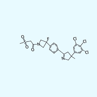 CC1(c2cc(Cl)c(Cl)c(Cl)c2)CN=C(c2ccc(C3(F)CN(C(=O)CS(C)(=O)=O)C3)cc2)C1